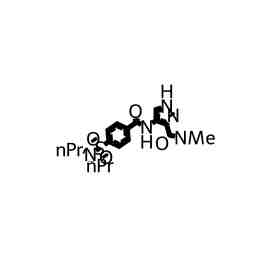 CCCN(CCC)S(=O)(=O)c1ccc(C(=O)Nc2c[nH]nc2C(=O)NC)cc1